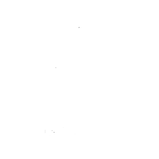 CCCCC/C=C\C/C=C\CCCCCCCC(N)=O.Cl